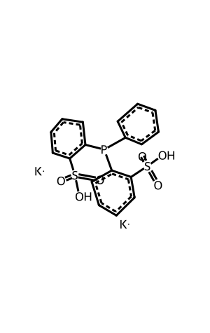 O=S(=O)(O)c1ccccc1P(c1ccccc1)c1ccccc1S(=O)(=O)O.[K].[K]